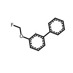 FCOc1[c]c(-c2ccccc2)ccc1